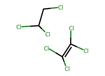 ClC(Cl)=C(Cl)Cl.ClCC(Cl)Cl